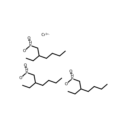 CCCCC(CC)C[PH](=O)[O-].CCCCC(CC)C[PH](=O)[O-].CCCCC(CC)C[PH](=O)[O-].[Cr+3]